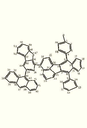 Cc1ccc(-c2c3c(c(-c4ccccc4)c4ccccc24)-c2cccc4c(-c5cc(-c6c7ccccc7cc7ccccc67)cc6c5sc5ccccc56)ccc-3c24)cc1